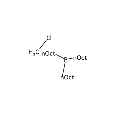 CCCCCCCCP(CCCCCCCC)CCCCCCCC.CCl